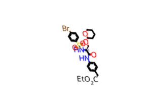 CCOC(=O)Cc1ccc(NC(=O)[C@H](COC2CCCCO2)NS(=O)(=O)c2ccc(Br)cc2)cc1